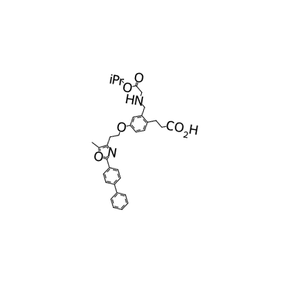 Cc1oc(-c2ccc(-c3ccccc3)cc2)nc1CCOc1ccc(CCC(=O)O)c(CNCC(=O)OC(C)C)c1